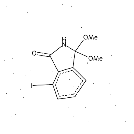 COC1(OC)NC(=O)c2c(I)cccc21